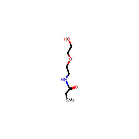 CSCC(=O)NCCOCCO